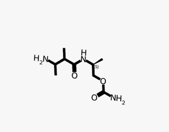 CC(N)C(C)C(=O)N[C@@H](C)COC(N)=O